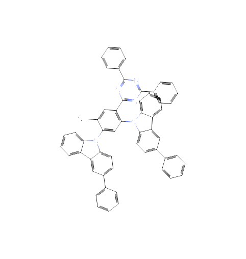 N#Cc1cc(-c2nc(-c3ccccc3)nc(-c3ccccc3)n2)c(-n2c3ccccc3c3cc(-c4ccccc4)ccc32)cc1-n1c2ccccc2c2cc(-c3ccccc3)ccc21